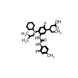 CCC(CC(=O)O)c1cc(NC(=O)Nc2ccc(C)cc2F)c(N(CC(C)C)C2CCCCC2)cc1F